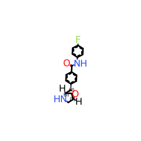 O=C(Nc1ccc(F)cc1)c1ccc([C@H]2O[C@@H]3CN[C@H]2C3)cc1